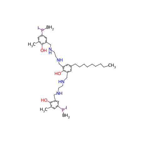 BP(I)c1cc(C)c(O)c(CNCCNCc2cc(CCCCCCCCC)cc(CNCCNCc3cc(P(B)I)cc(C)c3O)c2O)c1